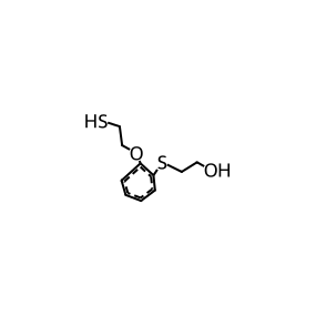 OCCSc1ccccc1OCCS